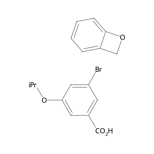 CC(C)Oc1cc(Br)cc(C(=O)O)c1.c1ccc2c(c1)CO2